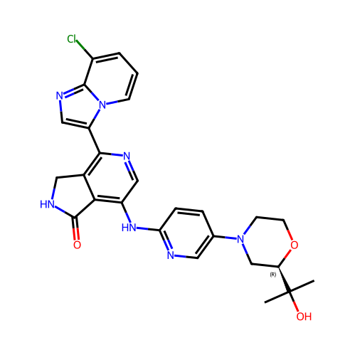 CC(C)(O)[C@H]1CN(c2ccc(Nc3cnc(-c4cnc5c(Cl)cccn45)c4c3C(=O)NC4)nc2)CCO1